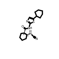 N#CN[C@H]1CCCC[C@H]1C(=O)Nc1ncc(C2CCCCC2)s1